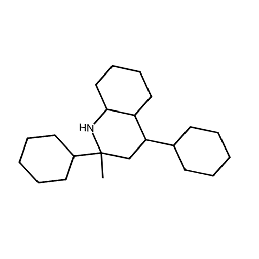 CC1(C2CCCCC2)CC(C2CCCCC2)C2CCCCC2N1